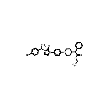 CCOC(=O)C(c1ccccc1)C1CCN(c2ccc(-n3ccn([C@H](C)c4ccc(Br)cc4)c3=O)cc2)CC1